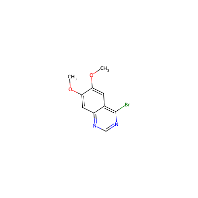 COc1cc2ncnc(Br)c2cc1OC